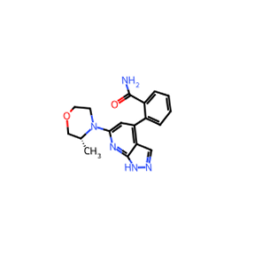 C[C@@H]1COCCN1c1cc(-c2ccccc2C(N)=O)c2cn[nH]c2n1